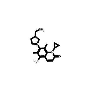 Cc1c(N2CCC(CN)C2)c(F)c(N)c2ccc(=O)n(C3CC3)c12